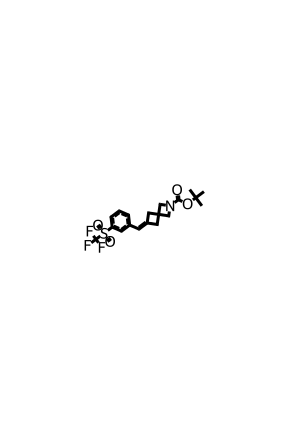 CC(C)(C)OC(=O)N1CC2(CC(=Cc3cccc(S(=O)(=O)C(F)(F)F)c3)C2)C1